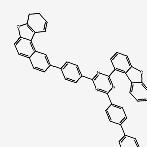 C1=Cc2c(oc3ccc4ccc(-c5ccc(-c6nc(-c7ccc(-c8ccccc8)cc7)nc(-c7cccc8oc9ccccc9c78)n6)cc5)cc4c23)CC1